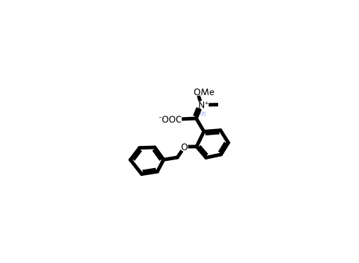 CO/[N+](C)=C(\C(=O)[O-])c1ccccc1OCc1ccccc1